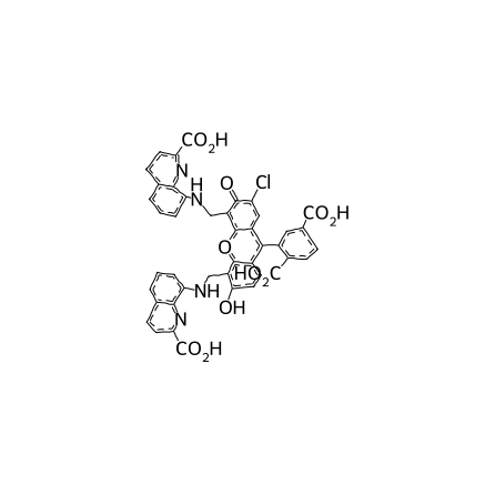 O=C(O)c1ccc(C(=O)O)c(-c2c3cc(Cl)c(=O)c(CNc4cccc5ccc(C(=O)O)nc45)c-3oc3c(CNc4cccc5ccc(C(=O)O)nc45)c(O)ccc23)c1